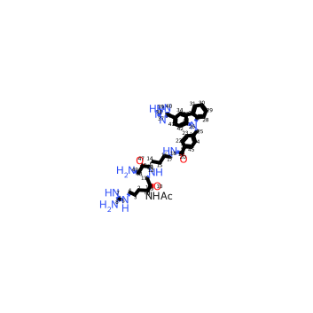 CC(=O)N[C@@H](CCCNC(=N)N)C(=O)CN[C@@H](CCCCNC(=O)c1ccc(Cn2c3ccccc3c3cc(-c4nn[nH]n4)ccc32)cc1)C(=O)CN